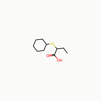 CCC(SC1CCCCC1)C(=O)O